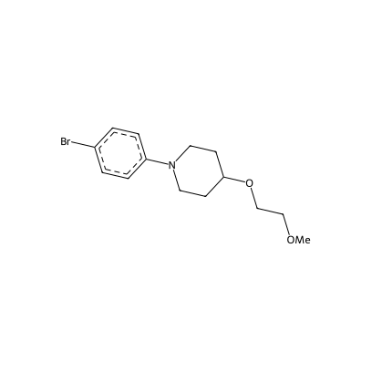 COCCOC1CCN(c2ccc(Br)cc2)CC1